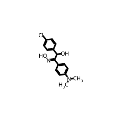 CN(C)c1ccc(C(=NO)C(O)c2ccc(Cl)cc2)cc1